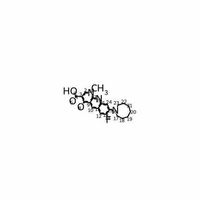 Cn1cc(C(=O)O)c(=O)c2cc3cc(F)c(N4CCCCCCC4)cc3nc21